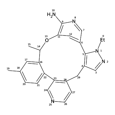 CCn1ncc2c1-c1cnc(N)c(c1)OC(C)c1cc(C)ccc1-c1cnccc1C2